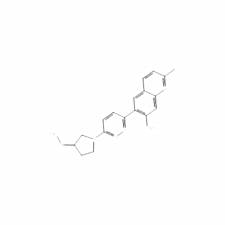 COc1cc2nc(C)ccc2cc1-c1ccc(N2CCC(NC(C)(C)C)C2)nn1